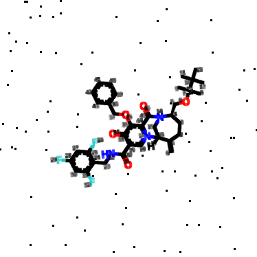 C=C1CC[C@H](CO[Si](C)(C)C(C)(C)C)N2C[C@H]1n1cc(C(=O)NCc3c(F)cc(F)cc3F)c(=O)c(OCc3ccccc3)c1C2=O